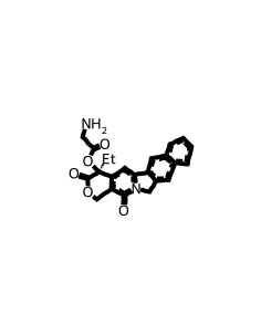 CC[C@@]1(OC(=O)CN)C(=O)OCc2c1cc1n(c2=O)Cc2cc3ccccc3cc2-1